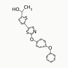 CC(O)c1ccc(-c2cnc(Oc3ccc(Oc4ccccc4)cc3)s2)s1